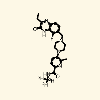 [2H]C([2H])([2H])NC(=O)c1ccc(N2CCN(Cc3ccc4nc(CC)c(=O)[nH]c4c3F)CC2)c(C)n1